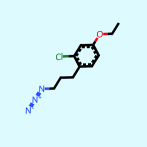 CCOc1ccc(CCCN=[N+]=[N-])c(Cl)c1